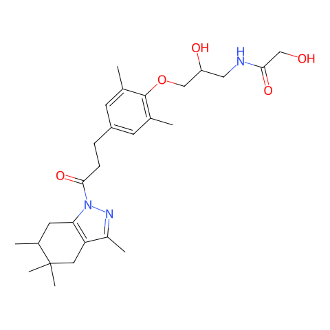 Cc1cc(CCC(=O)n2nc(C)c3c2CC(C)C(C)(C)C3)cc(C)c1OCC(O)CNC(=O)CO